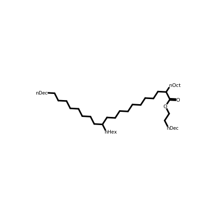 CCCCCCCCCCCCCCCCCCC(CCCCCC)CCCCCCCCCC(CCCCCCCC)C(=O)OCCCCCCCCCCCC